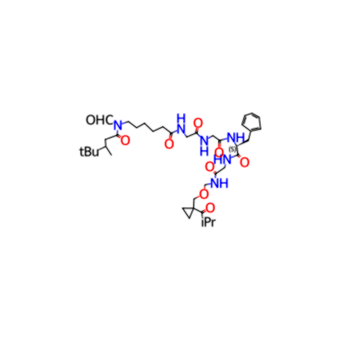 CC(C)C(=O)C1(COCNC(=O)CNC(=O)[C@H](Cc2ccccc2)NC(=O)CNC(=O)CNC(=O)CCCCCN(C=O)C(=O)CC(C)C(C)(C)C)CC1